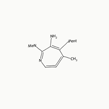 CCCC(C)C1=C(N)C(NC)=NC=C=C1C